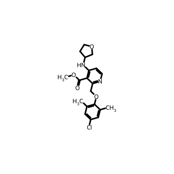 COC(=O)c1c(NC2CCOC2)ccnc1COc1c(C)cc(Cl)cc1C